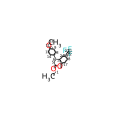 CCOC(=O)CC(c1ccc(OC)cc1)c1cccc(C(F)(F)F)c1